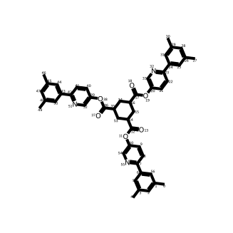 Cc1cc(C)cc(-c2ccc(OC(=O)C3CC(C(=O)Oc4ccc(-c5cc(C)cc(C)c5)nc4)CC(C(=O)Oc4ccc(-c5cc(C)cc(C)c5)nc4)C3)cn2)c1